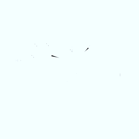 C[C@H]1C[C@@]2(C[C@@H](c3cn(C)nn3)N1)OCCc1sc(C(F)(F)F)cc12